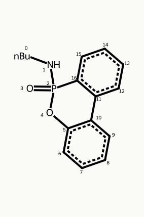 CCCCNP1(=O)Oc2ccccc2-c2ccccc21